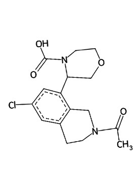 CC(=O)N1CCc2cc(Cl)cc(C3COCCN3C(=O)O)c2C1